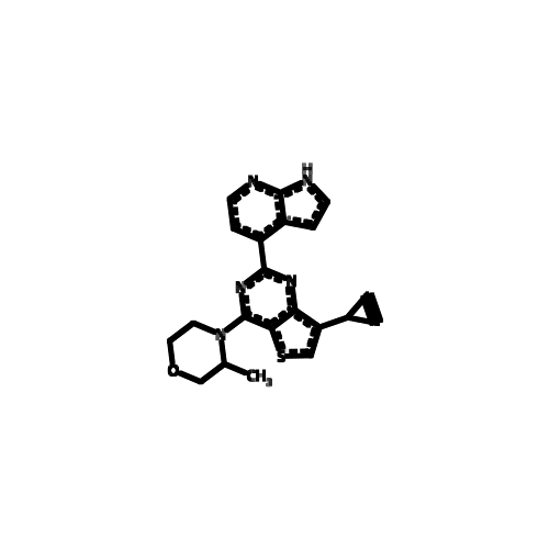 CC1COCCN1c1nc(-c2ccnc3[nH]ccc23)nc2c(C3C#C3)csc12